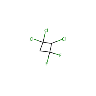 FC1(F)CC(Cl)(Cl)C1Cl